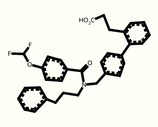 O=C(O)CCc1ccccc1-c1ccc(CN(CCCc2ccccc2)C(=O)c2ccc(OC(F)F)cc2)cc1